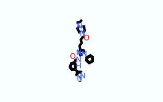 CC(C)N1CCN(C(=O)CCCc2cn(-c3ccccc3)c(NC(=O)c3cccc(-c4cnn(C)c4)c3)n2)CC1